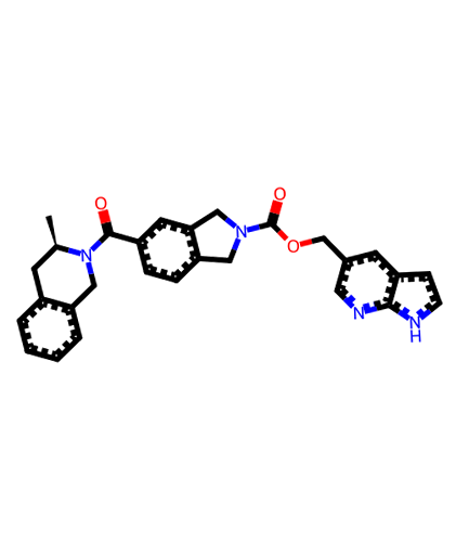 C[C@@H]1Cc2ccccc2CN1C(=O)c1ccc2c(c1)CN(C(=O)OCc1cnc3[nH]ccc3c1)C2